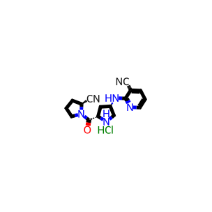 Cl.N#Cc1cccnc1N[C@@H]1CN[C@H](C(=O)N2CCC[C@H]2C#N)C1